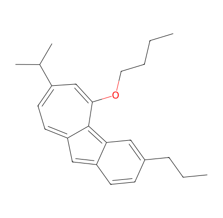 CCCCOc1cc(C(C)C)ccc2cc3ccc(CCC)cc3c1-2